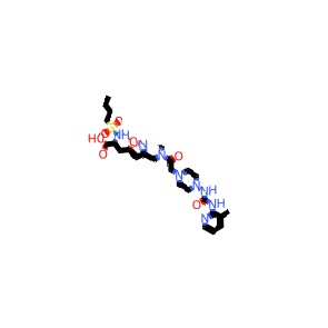 CCCCS(=O)(=O)NC(Cc1cc(CN(C)C(=O)CN2CCN(NC(=O)Nc3ncccc3C)CC2)no1)C(=O)O